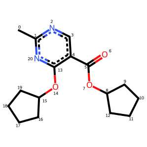 Cc1ncc(C(=O)OC2CCCC2)c(OC2CCCC2)n1